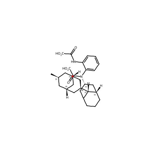 C[C@@H]1C[C@@H]2C[C@H](C1)C[C@@H]([C@H]1C3CCC[C@H]1C[C@@H](N(C(=O)C(=O)O)c1ccccc1NC(=O)C(=O)O)C3)C2